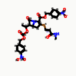 CNC(=O)/C=C/SC1=C(C(=O)OCc2ccc([N+](=O)[O-])cc2)N2C(=O)C(C(C)OC(=O)OCc3ccc([N+](=O)[O-])cc3)C2C1